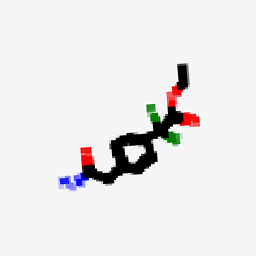 CCOC(=O)C(F)(F)c1ccc(CC(N)=O)cc1